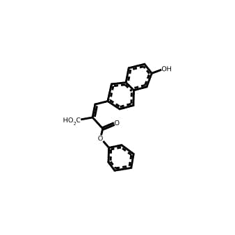 O=C(O)/C(=C/c1ccc2cc(O)ccc2c1)C(=O)Oc1ccccc1